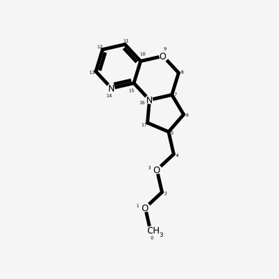 COCOCC1CC2COc3cccnc3N2C1